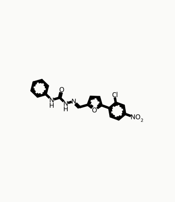 O=C(N/N=C/c1ccc(-c2ccc([N+](=O)[O-])cc2Cl)o1)Nc1ccccc1